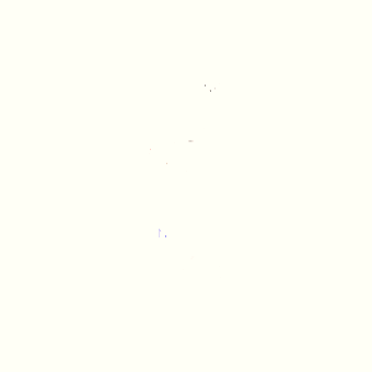 O=[N+]([O-])c1ccc(S(=O)(=O)CCCN2CCc3ccccc3C2)cc1